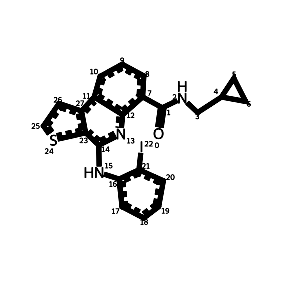 O=C(NCC1CC1)c1cccc2c1nc(Nc1ccccc1I)c1sccc12